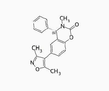 Cc1noc(C)c1-c1ccc2c(c1)[C@H](c1ccccc1)N(C)C(=O)O2